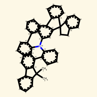 CC1(C)c2ccccc2-c2cccc(-c3ccccc3N(c3ccc4c(c3)C3(CCc5ccccc53)c3ccccc3-4)c3ccccc3-c3ccccc3)c21